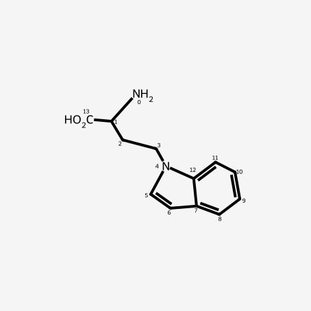 NC(CCn1ccc2ccccc21)C(=O)O